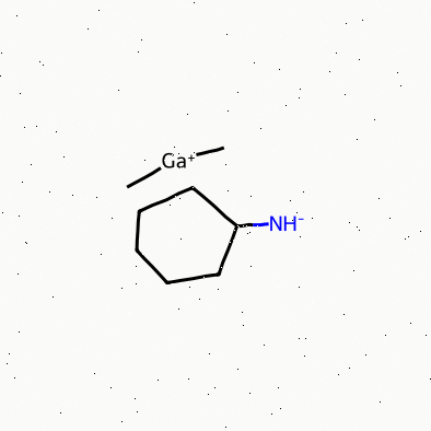 [CH3][Ga+][CH3].[NH-]C1CCCCC1